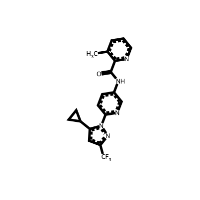 Cc1cccnc1C(=O)Nc1ccc(-n2nc(C(F)(F)F)cc2C2CC2)nc1